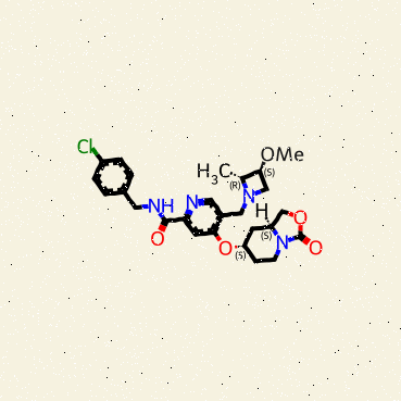 CO[C@H]1CN(Cc2cnc(C(=O)NCc3ccc(Cl)cc3)cc2O[C@H]2CCN3C(=O)OC[C@@H]3C2)[C@@H]1C